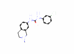 CN1CCc2ccc(NC(=O)Nc3cccc(Cl)c3)cc2C1